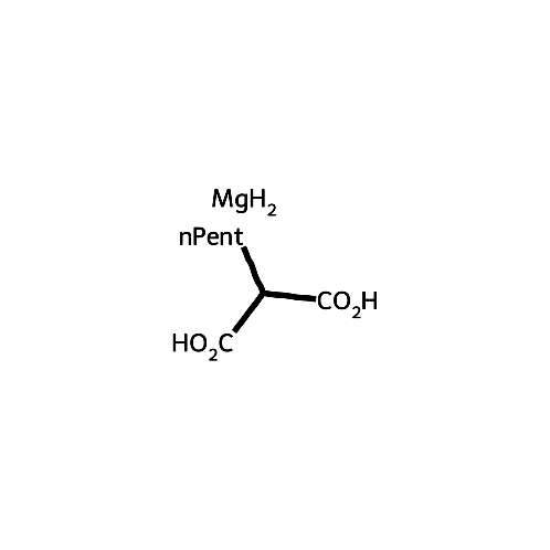 CCCCCC(C(=O)O)C(=O)O.[MgH2]